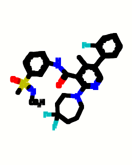 Cc1c(-c2ccccc2F)cnc(N2CCCC(F)(F)CC2)c1C(=O)Nc1cccc(S(C)(=O)=NC(=O)O)c1